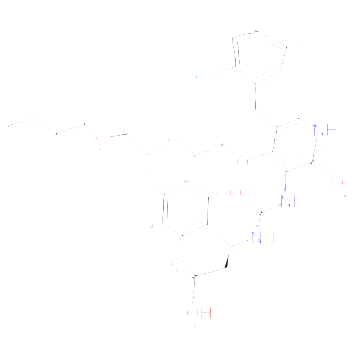 COCCOCCOCCOc1c(Cc2ccccc2Cl)c[nH]c(=O)c1NC(=O)N[C@@H](CC(=O)O)c1ccc(C)cc1